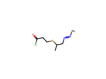 CC(CN=NC(C)(C)C)SCCC(=O)Cl